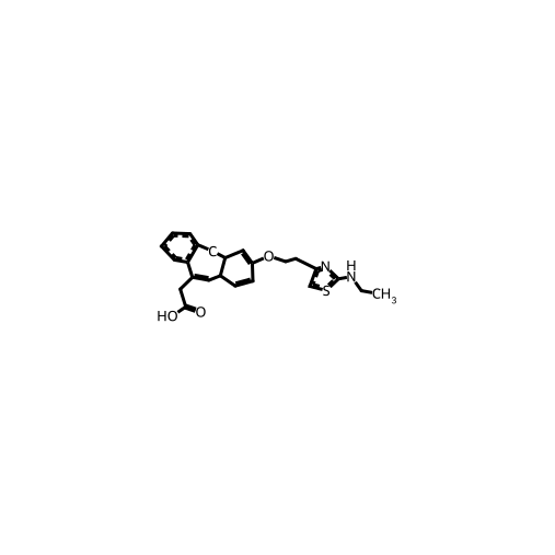 CCNc1nc(CCOC2=CC3Cc4ccccc4C(CC(=O)O)=CC3C=C2)cs1